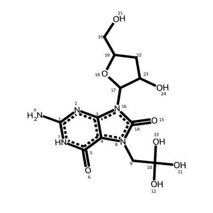 Nc1nc2c(c(=O)[nH]1)n(CC(O)(O)O)c(=O)n2C1OC(CO)CC1O